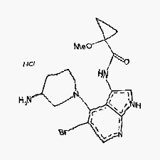 COC1(C(=O)Nc2c[nH]c3ncc(Br)c(N4CCCC(N)C4)c23)CC1.Cl